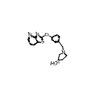 O[C@@H]1CCN(Cc2ccc(Oc3nc4ncccc4s3)cc2)C1